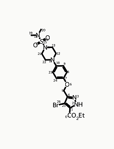 CCOC(=O)c1[nH]nc(COc2ccc(N3CCN(S(=O)(=O)N(C)C)CC3)cc2)c1Br